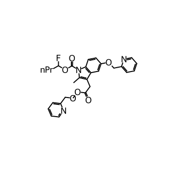 CCCC(F)OC(=O)n1c(C)c(CC(=O)OOCc2ccccn2)c2cc(OCc3ccccn3)ccc21